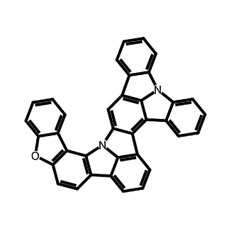 c1ccc2c(c1)oc1ccc3c4cccc5c6c7c8ccccc8n8c9ccccc9c(cc6n(c45)c3c12)c78